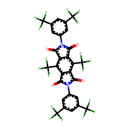 O=c1c2c(C(F)(F)F)c3c(=O)n(-c4cc(C(F)(F)F)cc(C(F)(F)F)c4)c(=O)c3c(C(F)(F)F)c2c(=O)n1-c1cc(C(F)(F)F)cc(C(F)(F)F)c1